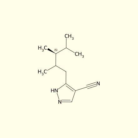 CC(C)[C@H](C)C(C)Cc1[nH]ncc1C#N